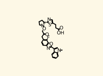 Cn1cc(-c2nc3ccc(CC(=O)CON4CCC[C@H]4c4ncc(CCC(=O)O)s4)c(F)c3o2)c2ccccc21